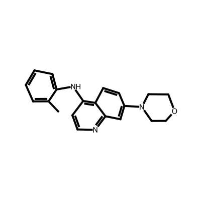 Cc1ccccc1Nc1ccnc2cc(N3CCOCC3)ccc12